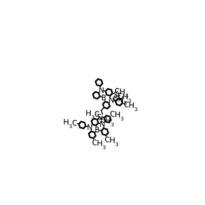 Cc1ccc(N2c3ccc(C)cc3B3c4cc(C)ccc4N(c4ccc(C)cc4)c4c([Si](C)(C)CCc5ccc6c(c5)B5c7ccccc7N(c7ccccc7)c7ccc([Si](C)(C)C)c(c75)N6c5ccc(C)cc5)ccc2c43)cc1